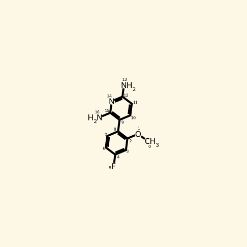 COc1cc(F)ccc1-c1ccc(N)nc1N